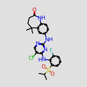 CC(C)S(=O)(=O)c1cccc(F)c1Nc1nc(Nc2ccc3c(c2)C(C)(C)CCC(=O)N3)ncc1Cl